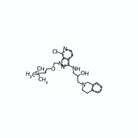 C[Si](C)(C)CCOCn1nc(NCC(O)CN2CCc3ccccc3C2)c2ccnc(Cl)c21